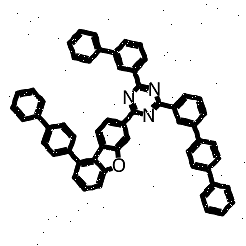 c1ccc(-c2ccc(-c3cccc(-c4nc(-c5cccc(-c6ccccc6)c5)nc(-c5ccc6c(c5)oc5cccc(-c7ccc(-c8ccccc8)cc7)c56)n4)c3)cc2)cc1